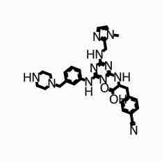 Cn1ccnc1CNc1nc(Nc2cccc(CN3CCNCC3)c2)nc(NC(Cc2ccc(C#N)cc2)C(=O)O)n1